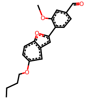 CCCCOc1ccc2oc(-c3ccc(C=O)cc3OC)cc2c1